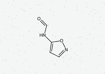 O=[C]Nc1ccno1